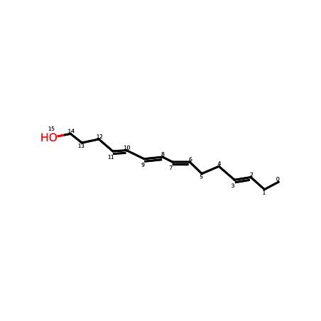 CCC=CCCC=CC=CC=CCCCO